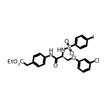 CCOC(=O)Cc1ccc(NC(=O)[C@H](COc2cccc(Cl)c2)NS(=O)(=O)c2ccc(I)cc2)cc1